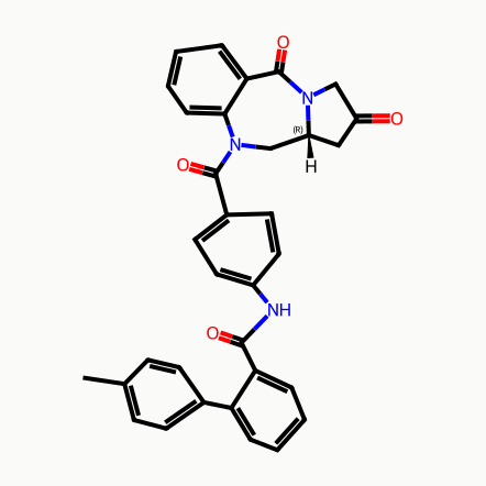 Cc1ccc(-c2ccccc2C(=O)Nc2ccc(C(=O)N3C[C@H]4CC(=O)CN4C(=O)c4ccccc43)cc2)cc1